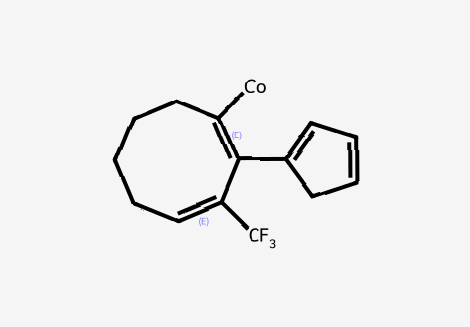 FC(F)(F)C1=C/CCCC/[C]([Co])=C\1C1=CC=CC1